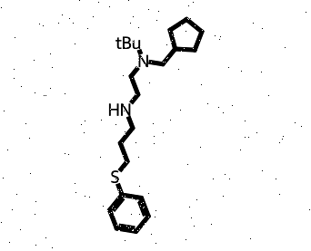 CC(C)(C)N(CCNCCCSc1ccccc1)CC1CCCC1